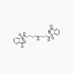 O=[N+]([O-])c1ccccc1S(=O)(=O)NCCCCNCCCNS(=O)(=O)c1ccccc1[N+](=O)[O-]